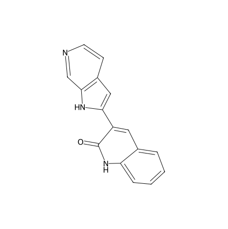 O=c1[nH]c2ccccc2cc1-c1cc2ccncc2[nH]1